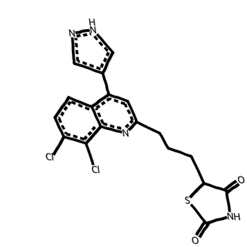 O=C1NC(=O)C(CCCc2cc(-c3cn[nH]c3)c3ccc(Cl)c(Cl)c3n2)S1